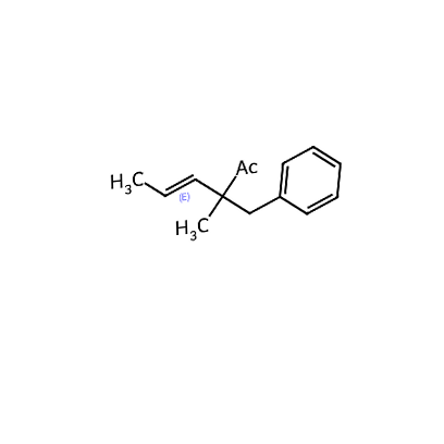 C/C=C/C(C)(Cc1ccccc1)C(C)=O